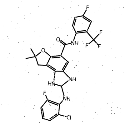 CC1(C)Cc2c3c(cc(C(=O)Nc4ccc(F)cc4C(F)(F)F)c2O1)NC(Nc1c(F)cccc1Cl)N3